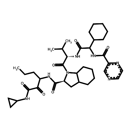 CCCC(NC(=O)[C@@H]1CC2CCCCC2N1C(=O)[C@@H](NC(=O)C(NC(=O)c1cnccn1)C1CCCCC1)C(C)C)C(=O)C(=O)NC1CC1